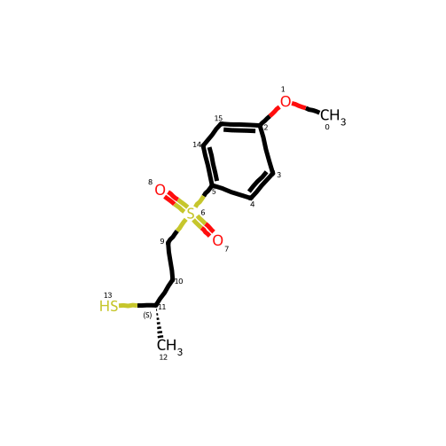 COc1ccc(S(=O)(=O)CC[C@H](C)S)cc1